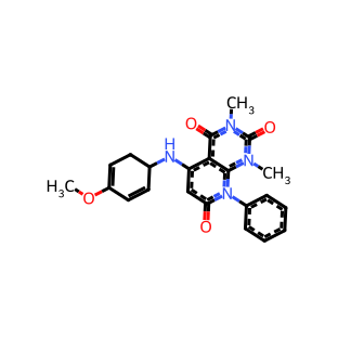 COC1=CCC(Nc2cc(=O)n(-c3ccccc3)c3c2c(=O)n(C)c(=O)n3C)C=C1